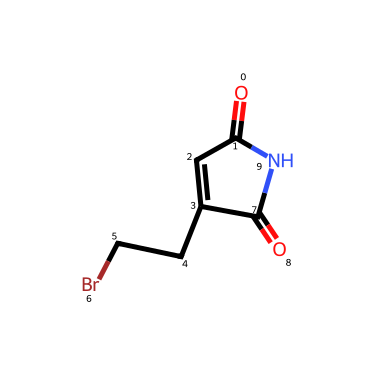 O=C1C=C(CCBr)C(=O)N1